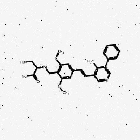 COc1cc(/C=C/c2cncc(-c3ccccc3)c2C)cc(OC)c1CNC(CO)C(=O)O